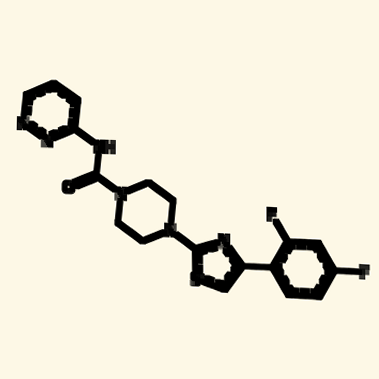 O=C(Nc1cccnn1)N1CCN(c2nc(-c3ccc(F)cc3F)cs2)CC1